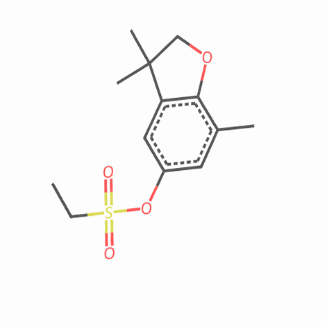 CCS(=O)(=O)Oc1cc(C)c2c(c1)C(C)(C)CO2